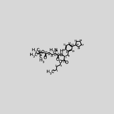 CCCCOC(=O)[C@H](Cc1cccc(C2CCCC2)c1)NC(=O)[C@@H](N)CCC(=O)OC(C)(C)C